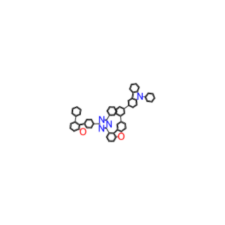 c1ccc(-c2nc(-c3ccc4c(c3)oc3cccc(-c5ccccc5)c34)nc(-c3cccc4oc5ccc(-c6cccc(-c7ccc8c(c7)c7ccccc7n8-c7ccccc7)c6)cc5c34)n2)cc1